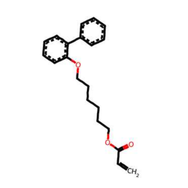 C=CC(=O)OCCCCCCOc1ccccc1-c1ccccc1